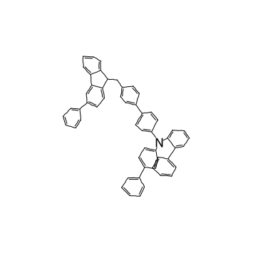 c1ccc(-c2ccc(N(c3ccc(-c4ccc(CC5c6ccccc6-c6cc(-c7ccccc7)ccc65)cc4)cc3)c3ccccc3-c3ccccc3)cc2)cc1